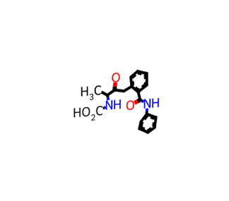 CC(NC(=O)O)C(=O)Cc1ccccc1C(=O)Nc1ccccc1